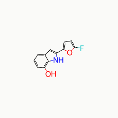 Oc1cccc2cc(-c3ccc(F)o3)[nH]c12